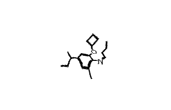 CCC/C=N\c1c(C)cc(C(C)CC)cc1OC1CCC1